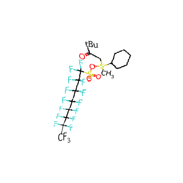 CC(C)(C)C(=O)CS(C)(OS(=O)(=O)C(F)(F)C(F)(F)C(F)(F)C(F)(F)C(F)(F)C(F)(F)C(F)(F)C(F)(F)F)C1CCCCC1